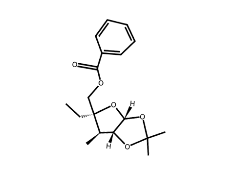 CC[C@]1(COC(=O)c2ccccc2)O[C@@H]2OC(C)(C)O[C@@H]2[C@H]1C